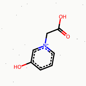 O=C(O)C[n+]1cccc(O)c1